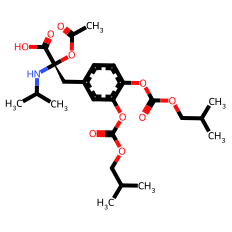 CC(=O)O[C@](Cc1ccc(OC(=O)OCC(C)C)c(OC(=O)OCC(C)C)c1)(NC(C)C)C(=O)O